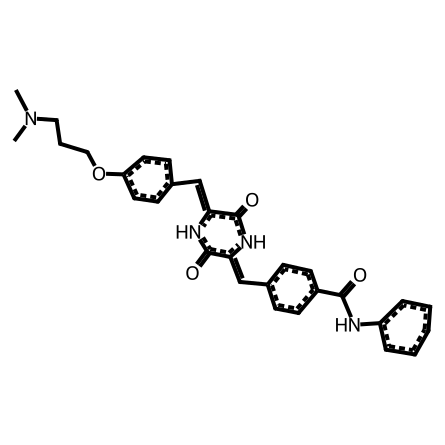 CN(C)CCCOc1ccc(/C=c2\[nH]c(=O)c(=Cc3ccc(C(=O)Nc4ccccc4)cc3)[nH]c2=O)cc1